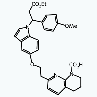 CCOC(=O)CC(c1ccc(OC)cc1)n1ccc2cc(OCCc3ccc4c(n3)N(C(=O)O)CCC4)ccc21